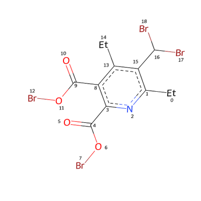 CCc1nc(C(=O)OBr)c(C(=O)OBr)c(CC)c1C(Br)Br